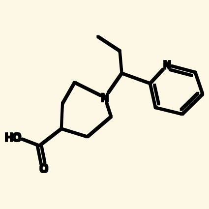 CCC(c1ccccn1)N1CCC(C(=O)O)CC1